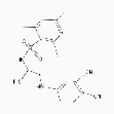 Cc1cc(C)c(S(=O)(=O)NC(CNc2ccc(C#N)c(C#N)c2)C(F)(F)F)c(C)c1